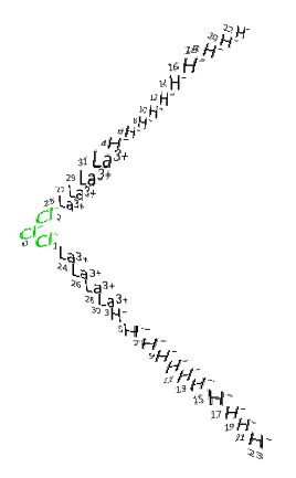 [Cl-].[Cl-].[Cl-].[H-].[H-].[H-].[H-].[H-].[H-].[H-].[H-].[H-].[H-].[H-].[H-].[H-].[H-].[H-].[H-].[H-].[H-].[H-].[H-].[H-].[La+3].[La+3].[La+3].[La+3].[La+3].[La+3].[La+3].[La+3]